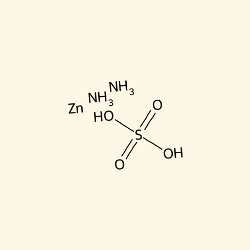 N.N.O=S(=O)(O)O.[Zn]